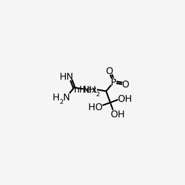 CCCCCCC(P(=O)=O)C(O)(O)O.N=C(N)N